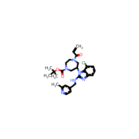 C=CC(=O)N1CCN(C(=O)OC(C)(C)C)CC(n2c(NCc3ccnc(C)c3)nc3cccc(Cl)c32)C1